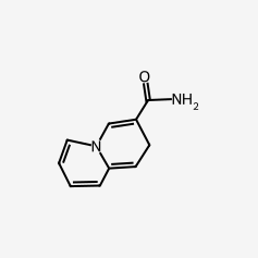 NC(=O)C1=CN2C=CC=CC2=CC1